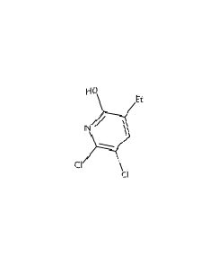 CCc1cc(Cl)c(Cl)nc1O